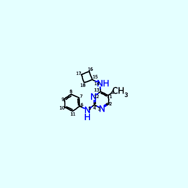 Cc1cnc(Nc2ccccc2)nc1NC1CCC1